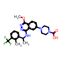 COc1nnc(NC(C)c2cccc(C(F)(F)F)c2C)c2cc(N3CCN(C(=O)O)CC3)ccc12